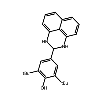 CC(C)(C)c1cc(C2Nc3cccc4cccc(c34)N2)cc(C(C)(C)C)c1O